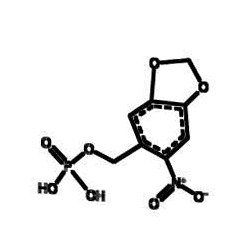 O=[N+]([O-])c1cc2c(cc1COP(=O)(O)O)OCO2